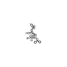 Cc1ccc(S(=O)(=O)SCO[C@H]2C[C@H](n3cnc4c(OCON(c5ccccc5)c5ccccc5)nc(NC(=O)C(C)C)nc43)O[C@@H]2CO)cc1